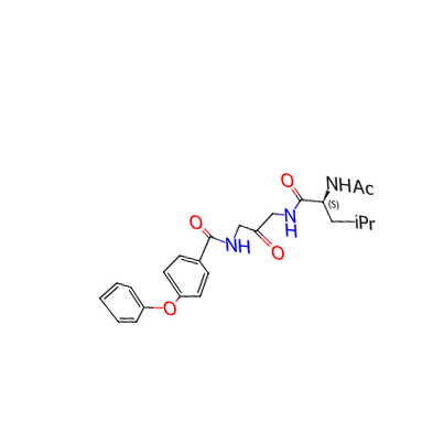 CC(=O)N[C@@H](CC(C)C)C(=O)NCC(=O)CNC(=O)c1ccc(Oc2ccccc2)cc1